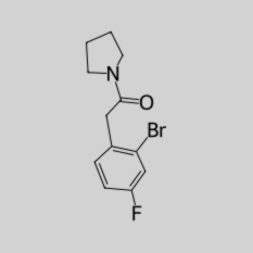 O=C(Cc1ccc(F)cc1Br)N1CCCC1